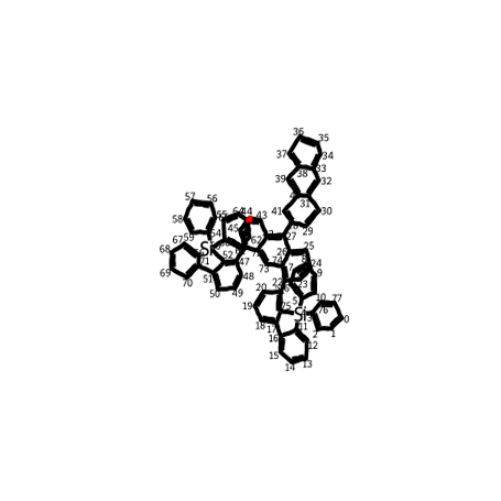 c1ccc([Si]2(c3ccccc3)c3ccccc3-c3cccc(-c4cccc5c(-c6ccc7cc8ccccc8cc7c6)c6cccc(-c7cccc8c7[Si](c7ccccc7)(c7ccccc7)c7ccccc7-8)c6cc45)c32)cc1